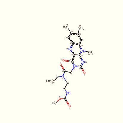 CCOC(=O)CN(CCNC(=O)OC(C)(C)C)C(=O)Cn1c(=O)nc2n(C)c3cc(C)c(C)cc3nc-2c1=O